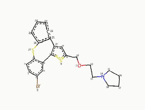 Brc1ccc2c(c1)-c1sc(COCCN3CCCC3)cc1-c1ccccc1S2